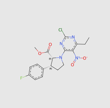 CCc1nc(Cl)nc(N2CC[C@H](c3ccc(F)cc3)[C@@H]2C(=O)OC)c1[N+](=O)[O-]